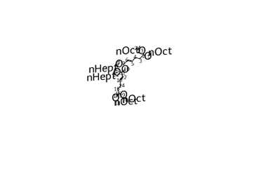 CCCCCCCCOC(CCC=CC(OCCCCCCC)OC(C=CCCC(OCCCCCCCC)OCCCCCCCC)OCCCCCCC)OCCCCCCCC